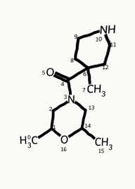 CC1CN(C(=O)C2(C)CCNCC2)CC(C)O1